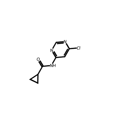 O=C(Nc1cc(Cl)ncn1)C1CC1